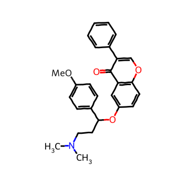 COc1ccc(C(CCN(C)C)Oc2ccc3occ(-c4ccccc4)c(=O)c3c2)cc1